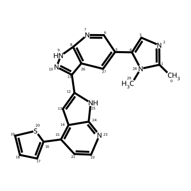 Cc1ncc(-c2cnc3[nH]nc(-c4cc5c(-c6cccs6)ccnc5[nH]4)c3c2)n1C